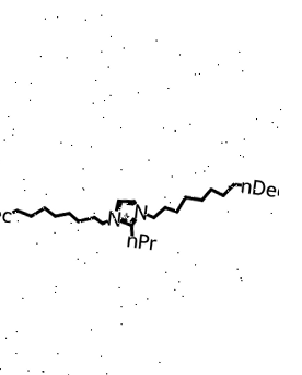 CCCCCCCCCCCCCCCCCCn1cc[n+](CCCCCCCCCCCCCCCCCC)c1CCC